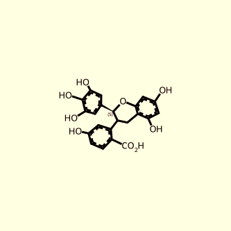 O=C(O)c1ccc(O)cc1C1Cc2c(O)cc(O)cc2O[C@@H]1c1cc(O)c(O)c(O)c1